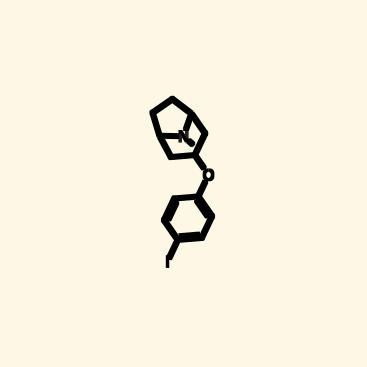 CN1C2CCC1CC(Oc1ccc(I)cc1)C2